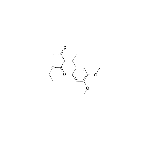 COc1ccc(C(C)C(C(C)=O)C(=O)OC(C)C)cc1OC